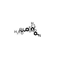 Cc1c(F)c(Oc2cccc(C#N)c2)nc(Oc2cccc(CCC(=O)N(C)C)c2)c1F